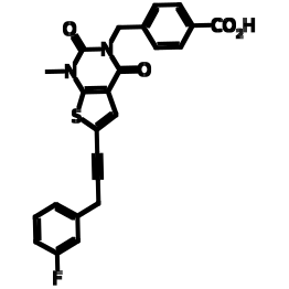 Cn1c(=O)n(Cc2ccc(C(=O)O)cc2)c(=O)c2cc(C#CCc3cccc(F)c3)sc21